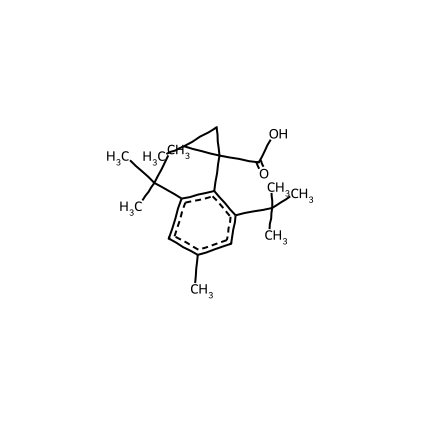 Cc1cc(C(C)(C)C)c(C2(C(=O)O)CC2C)c(C(C)(C)C)c1